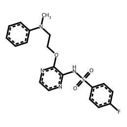 CN(CCOc1nccnc1NS(=O)(=O)c1ccc(F)cc1)c1ccccc1